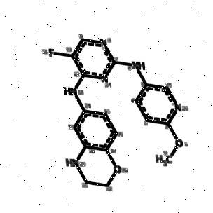 COc1ccc(Nc2ncc(F)c(Nc3ccc4c(c3)NCCO4)n2)cn1